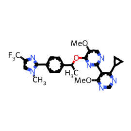 COc1cnc(-c2c(OC)ncnc2C2CC2)nc1OC(C)c1ccc(-c2nc(C(F)(F)F)cn2C)cc1